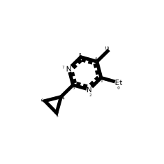 CCc1nc(C2CC2)n[c]c1C